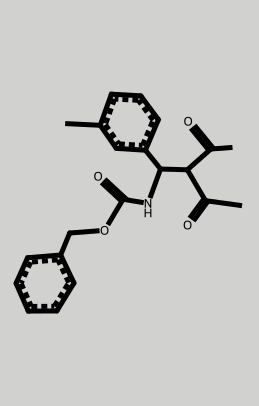 CC(=O)C(C(C)=O)C(NC(=O)OCc1ccccc1)c1cccc(C)c1